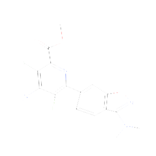 COC(=O)c1nc(-c2ccc3c(N(C)C)noc3c2)c(F)c(N)c1Cl